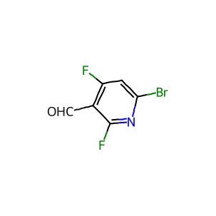 O=Cc1c(F)cc(Br)nc1F